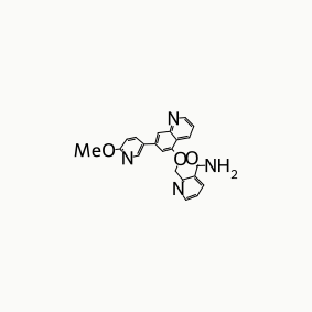 COc1ccc(-c2cc(OCc3ncccc3C(N)=O)c3cccnc3c2)cn1